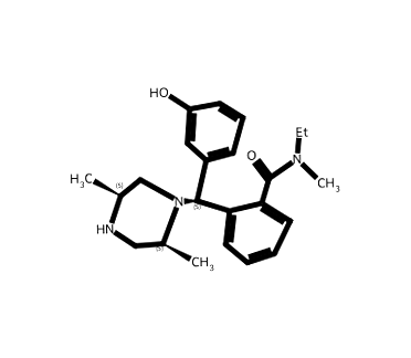 CCN(C)C(=O)c1ccccc1[C@H](c1cccc(O)c1)N1C[C@H](C)NC[C@@H]1C